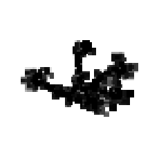 C[C@@H]1O[C@@H](OCCNC(=O)CC[C@H](NC(=O)CN(CC(=O)NCCCCCC(=O)ON2C(=O)CCC2=O)CC(=O)N[C@@H](CCC(=O)NCCO[C@H]2O[C@H](CO)[C@@H](O)[C@H](O)[C@@H]2O)C(=O)NCCO[C@H]2O[C@H](CO)[C@@H](O)[C@H](O)[C@@H]2O)C(=O)NCCO[C@@H]2O[C@@H](C)[C@@H](O)[C@@H](O)[C@@H]2O)[C@@H](O)[C@H](O)[C@@H]1O